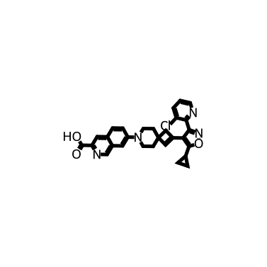 O=C(O)c1cc2ccc(N3CCC4(C=C(c5c(-c6ncccc6Cl)noc5C5CC5)C4)CC3)cc2cn1